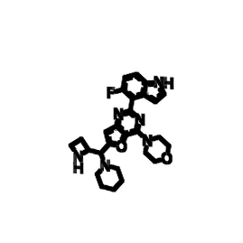 Fc1ccc2[nH]ccc2c1-c1nc(N2CCOCC2)c2oc(C(C3CCN3)N3CCCCC3)cc2n1